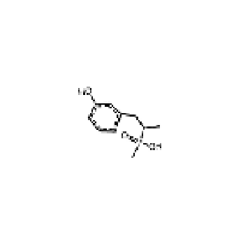 C[C@H](Cc1cccc(O)c1)P(C)(=O)O